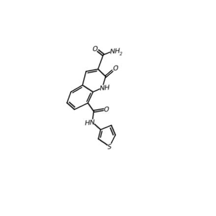 NC(=O)c1cc2cccc(C(=O)Nc3ccsc3)c2[nH]c1=O